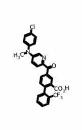 CN(c1ccc(Cl)cc1)c1ccc(C(=O)c2ccc(-c3ccccc3C(F)(F)F)c(C(=O)O)c2)nc1